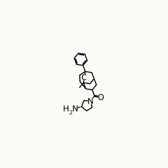 CC12CC3CC(C(=O)N4CC[C@@H](N)C4)C1CCC(c1ccccc1)(C3)C2